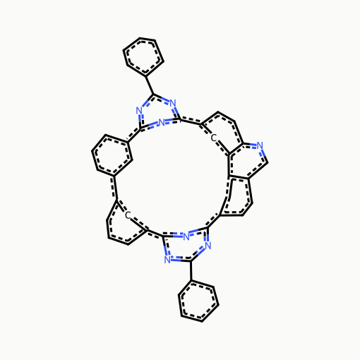 c1ccc(-c2nc3nc(n2)c2ccc4cnc5ccc(cc5c4c2)c2nc(-c4ccccc4)nc(n2)c2cccc(c2)c2cccc3c2)cc1